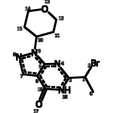 CC(Br)c1nc2c(cnn2C2CCOCC2)c(=O)[nH]1